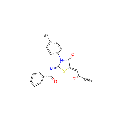 CCc1ccc(N2C(=O)/C(=C/C(=O)OC)S/C2=N\C(=O)c2ccccc2)cc1